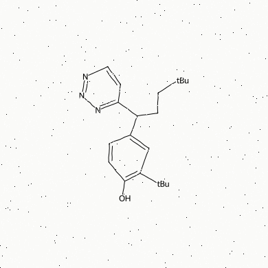 CC(C)(C)CCC(c1ccc(O)c(C(C)(C)C)c1)c1ccnnn1